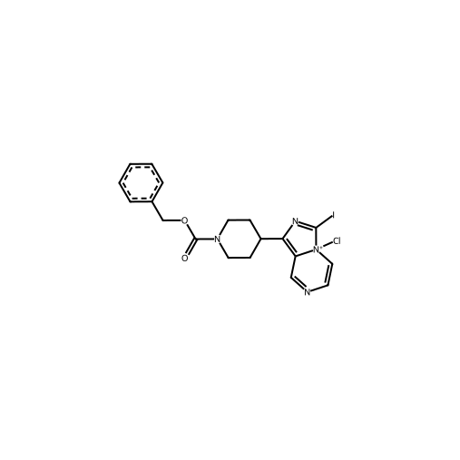 O=C(OCc1ccccc1)N1CCC(C2=C3C=NC=C[N+]3(Cl)C(I)=N2)CC1